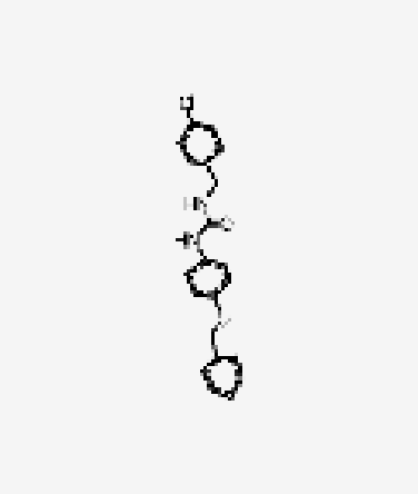 O=C(NCc1ccc(Cl)cc1)Nc1ccc(OCc2ccccc2)cc1